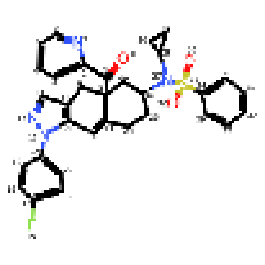 O=C(c1ccccn1)[C@]12Cc3cnn(-c4ccc(F)cc4)c3C=C1CC[C@H](N(C1CC1)S(=O)(=O)c1ccccc1)C2